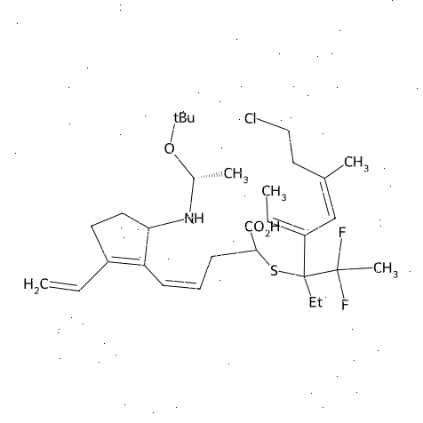 C=CC1=C(/C=C\CC(SC(CC)(C(/C=C(/C)CCCl)=C/C)C(C)(F)F)C(=O)O)C(N[C@@H](C)OC(C)(C)C)CC1